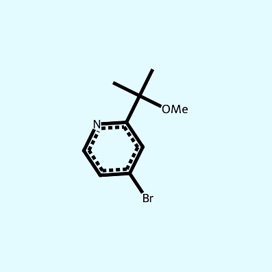 COC(C)(C)c1cc(Br)ccn1